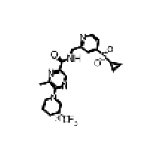 Cc1nc(C(=O)NCc2cc(S(=O)(=O)C3CC3)ccn2)cnc1N1CCC[C@@H](C(F)(F)F)C1